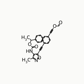 Cc1noc(C#Cc2ccc(C#COC=O)cc2)c1NC(=O)OC(C)c1ccccc1